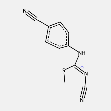 CS/C(=N\C#N)Nc1ccc(C#N)cc1